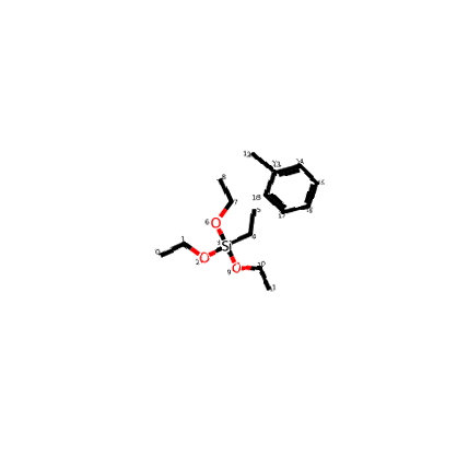 CCO[Si](CC)(OCC)OCC.Cc1ccccc1